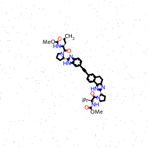 C=CC[C@H](NC(=O)OC)C(=O)N1CCC[C@H]1c1nc2ccc(C#Cc3ccc4c(c3)CCc3nc([C@@H]5CCCN5C(=O)[C@@H](NC(=O)OC)C(C)C)[nH]c3-4)cc2[nH]1